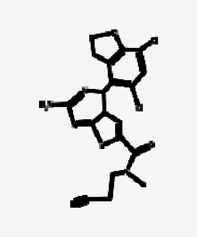 CN(CCC#N)C(=O)C1=CC2C(=NC(N)=NC2c2c(Cl)cc(Cl)c3c2CCO3)S1